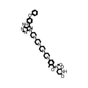 Cc1cc(N2CCC(N3CCC(N4CCC(N5CCC(n6nc(-c7ccc(Oc8ccccc8)cc7)c7c(N)ncnc76)CC5)CC4)CC3)CC2)ccc1C(=O)N(C=O)C1CCC(=O)NC1=O